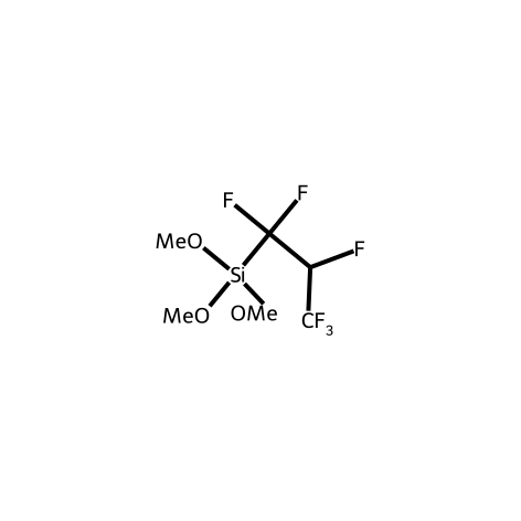 CO[Si](OC)(OC)C(F)(F)C(F)C(F)(F)F